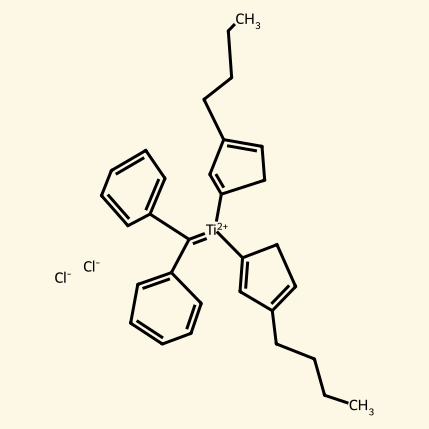 CCCCC1=CC[C]([Ti+2]([C]2=CC(CCCC)=CC2)=[C](c2ccccc2)c2ccccc2)=C1.[Cl-].[Cl-]